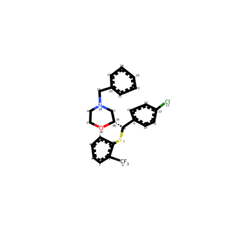 FC(F)(F)c1ccccc1SC(c1ccc(Cl)cc1)[C@H]1CN(Cc2ccccc2)CCO1